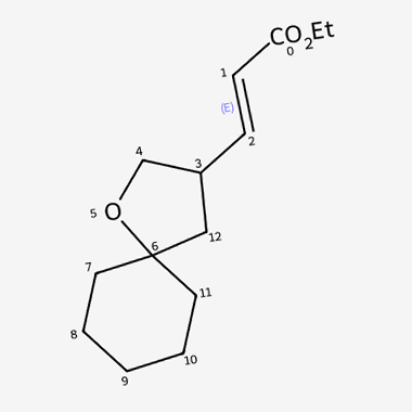 CCOC(=O)/C=C/C1COC2(CCCCC2)C1